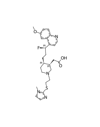 COc1ccc2nccc([C@H](F)CC[C@@H]3CCN(CCSc4nccn4C)C[C@@H]3CC(=O)O)c2c1